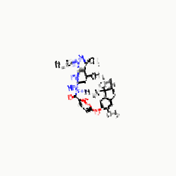 Cc1cc2c(cc1Oc1ccc(C(=O)NNc3cc(C)c4c(C)nn(C)c4n3)o1)C(C)(C)CC2